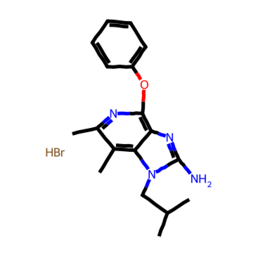 Br.Cc1nc(Oc2ccccc2)c2nc(N)n(CC(C)C)c2c1C